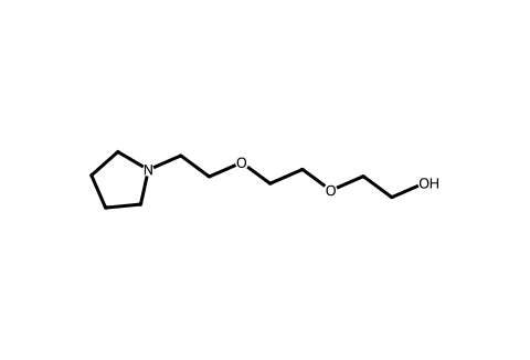 OCCOCCOCCN1CCCC1